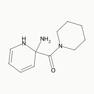 NC1(C(=O)N2CCCCC2)C=CC=CN1